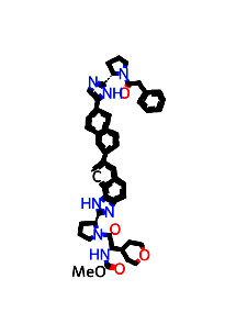 COC(=O)N[C@H](C(=O)N1CCC[C@H]1c1nc2ccc3cc(-c4ccc5cc(-c6cnc([C@@H]7CCCN7C(=O)Cc7ccccc7)[nH]6)ccc5c4)ccc3c2[nH]1)C1CCOCC1